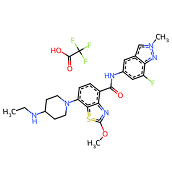 CCNC1CCN(c2ccc(C(=O)Nc3cc(F)c4nn(C)cc4c3)c3nc(OC)sc23)CC1.O=C(O)C(F)(F)F